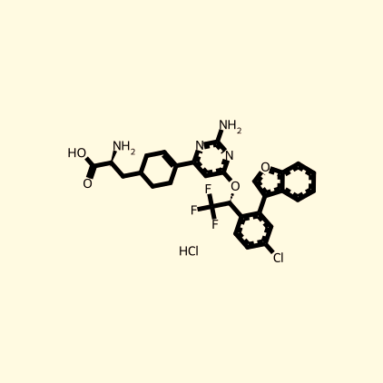 Cl.Nc1nc(O[C@H](c2ccc(Cl)cc2-c2coc3ccccc23)C(F)(F)F)cc(C2=CCC(C[C@H](N)C(=O)O)CC2)n1